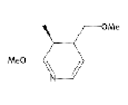 COCC1C=CN=C(OC)[C@H]1C